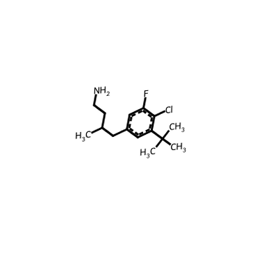 CC(CCN)Cc1cc(F)c(Cl)c(C(C)(C)C)c1